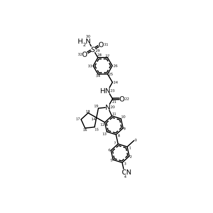 Cc1cc(C#N)ccc1-c1ccc2c(c1)C1(CCCC1)CN2C(=O)NCc1ccc(S(N)(=O)=O)cc1